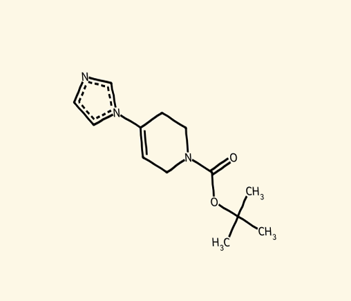 CC(C)(C)OC(=O)N1CC=C(n2ccnc2)CC1